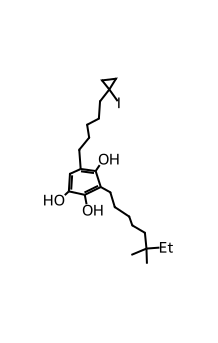 CCC(C)(C)CCCCCc1c(O)c(O)cc(CCCCCC2(I)CC2)c1O